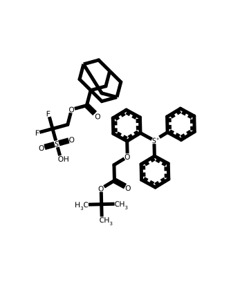 CC(C)(C)OC(=O)COc1ccccc1[S+](c1ccccc1)c1ccccc1.O=C(OCC(F)(F)S(=O)(=O)O)C12CC3CC(CC(C3)C1)C2